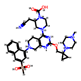 CN1CCN(C2(COc3nc4c(c(N5CCN(C(=O)O)C(CC#N)C5)n3)CCN(c3cc(S(C)(=O)=O)cc5ccccc35)C4)CC2)CC1